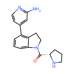 Nc1cc(-c2cccc3c2CCN3C(=O)[C@@H]2CCCN2)ccn1